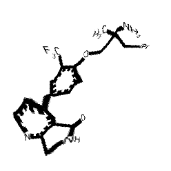 CC(C)CC(C)(N)COc1ccc(-c2ccnc3c2C(=O)NC3)cc1C(F)(F)F